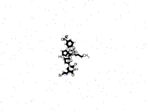 CCCCOC(=O)C1(NP(=O)(OC[C@H]2O[C@@H](n3cc(/C=C/Br)c(=O)[nH]c3=O)CC2O)Oc2ccc([N+](=O)[O-])cc2)CCCC1